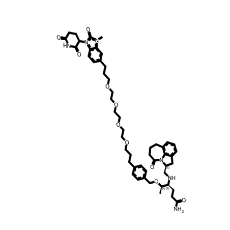 C[C@@H](OCc1ccc(CCCOCCOCCOCCOCCCc2ccc3c(c2)n(C)c(=O)n3C2CCC(=O)NC2=O)cc1)[C@H](CCC(N)=O)NC[C@@H]1Cc2cccc3c2N1C(=O)CCC3